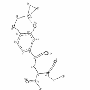 CCC(=O)C(CC(=O)c1ccc2c(c1)OC1(CC1)CO2)C(C)=O